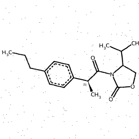 CCCc1ccc([C@H](C)C(=O)N2C(=O)OCC2C(C)C)cc1